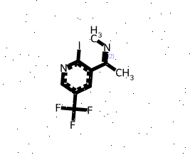 C/N=C(/C)c1cc(C(F)(F)F)cnc1I